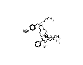 Br.CCCC[N+](CCCC)(CCCC)Cc1ccccc1.C[N+](C)(C)CCOC(=O)c1ccccc1.[Br-].[Br-]